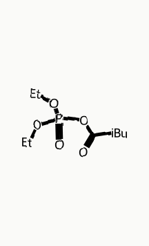 CCOP(=O)(OCC)OC(=O)C(C)CC